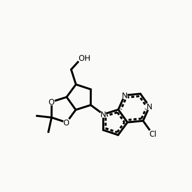 CC1(C)OC2C(CO)CC(n3ccc4c(Cl)ncnc43)C2O1